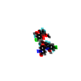 CCOCC(O)(C(=O)c1ccc(Cl)c(F)c1OC)C(F)(F)F.CCOCC(O)(C(Nc1cc(F)cc2[nH]c(=O)ccc12)c1ccc(Cl)c(F)c1OC)C(F)(F)F